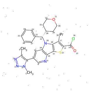 Cc1nnn(C)c1-c1cnc2c3sc(C(=O)Cl)c(C(C)C)c3n([C@H](c3ccccc3)C3CCOCC3)c2c1